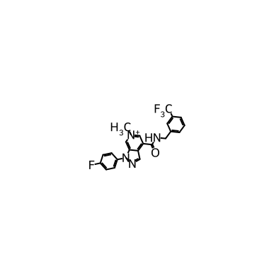 C[n+]1cc(C(=O)NCc2cccc(C(F)(F)F)c2)c2cnn(-c3ccc(F)cc3)c2c1